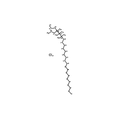 CCCCCCCCCCCCCCCCCCCC(C)(C)C(C)(C)[N+](C)(CCC)CCC.[Cl-]